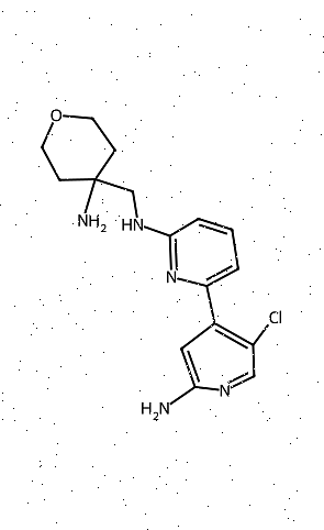 Nc1cc(-c2cccc(NCC3(N)CCOCC3)n2)c(Cl)cn1